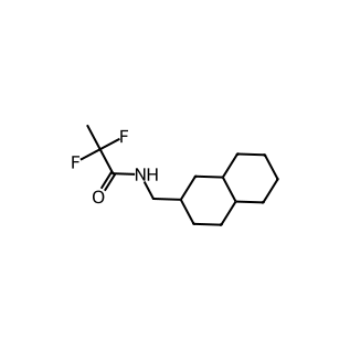 CC(F)(F)C(=O)NCC1CCC2CCCCC2C1